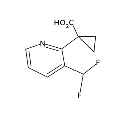 O=C(O)C1(c2ncccc2C(F)F)CC1